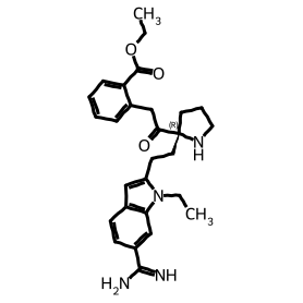 CCOC(=O)c1ccccc1CC(=O)[C@]1(CCc2cc3ccc(C(=N)N)cc3n2CC)CCCN1